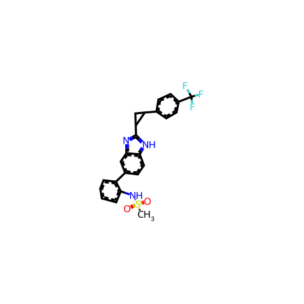 CS(=O)(=O)Nc1ccccc1-c1ccc2[nH]c(C3CC3c3ccc(C(F)(F)F)cc3)nc2c1